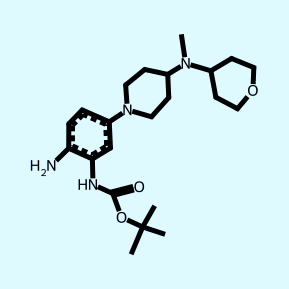 CN(C1CCOCC1)C1CCN(c2ccc(N)c(NC(=O)OC(C)(C)C)c2)CC1